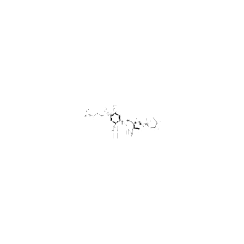 CNc1cc(N(C)CCCN(C)C)c(F)cc1/N=C/c1nn(C2CCCCO2)cc1NC